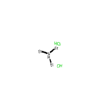 CC[SiH](CC)CC.Cl.Cl